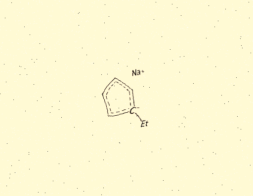 CC[c-]1cccc1.[Na+]